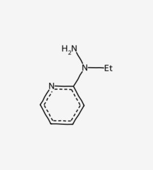 CCN(N)c1ccccn1